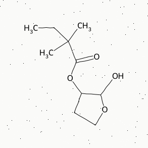 CCC(C)(C)C(=O)OC1CCOC1O